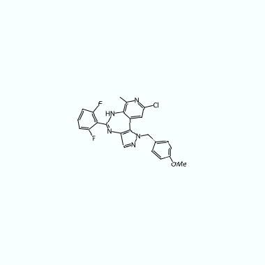 COc1ccc(Cn2ncc3c2-c2cc(Cl)nc(C)c2NC(c2c(F)cccc2F)=N3)cc1